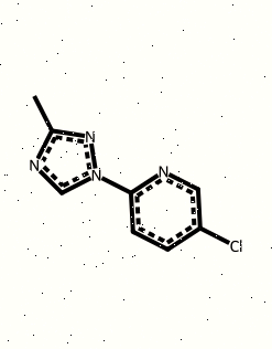 Cc1ncn(-c2ccc(Cl)cn2)n1